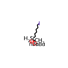 CCCCOC(C)(OCCCC)[SiH2]CCCCCCI